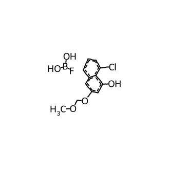 COCOc1cc(O)c2c(Cl)cccc2c1.OB(O)F